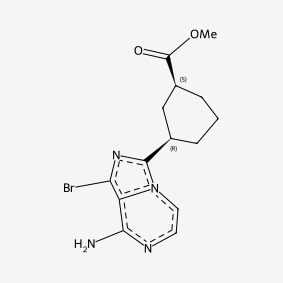 COC(=O)[C@H]1CCC[C@@H](c2nc(Br)c3c(N)nccn23)C1